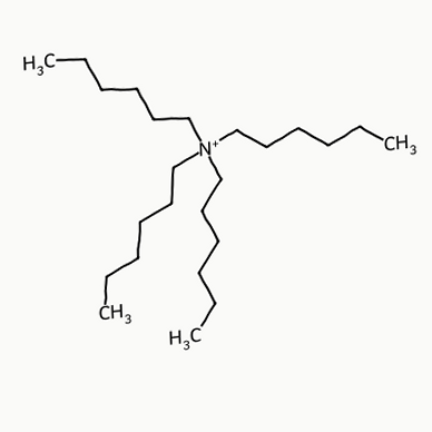 CCCCCC[N+](CCCCCC)(CCCCCC)CCCCCC